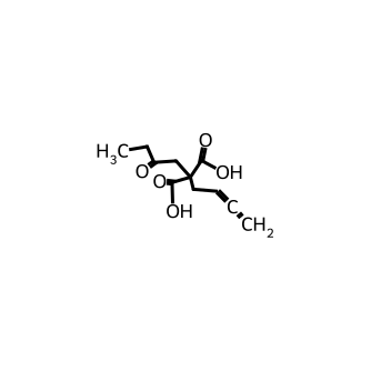 C=C=CCC(CC(=O)CC)(C(=O)O)C(=O)O